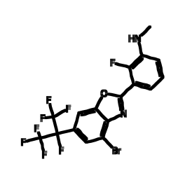 CNc1cccc(-c2nc3c(Br)cc(C(F)(C(F)(F)F)C(F)(F)F)cc3o2)c1F